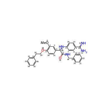 COc1cc([C@@H](Nc2ccc(C(=N)N)cc2)C(=O)NCc2ccccc2)ccc1OCCc1ccccc1